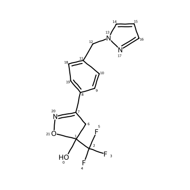 OC1(C(F)(F)F)CC(c2ccc(Cn3cccn3)cc2)=NO1